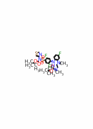 CN(CCN(C)c1cc(F)ccc1Nc1cc(F)c(S(=O)(=O)N(C(=O)OC(C)(C)C)c2cscn2)cc1Cl)C(=O)OC(C)(C)C